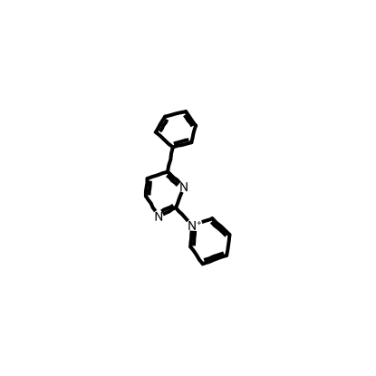 c1ccc(-c2ccnc(-[n+]3ccccc3)n2)cc1